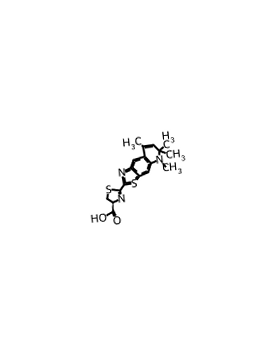 CC1=CC(C)(C)N(C)c2cc3sc(C4=N[C@@H](C(=O)O)CS4)nc3cc21